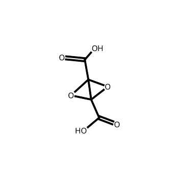 O=C(O)C12OC1(C(=O)O)O2